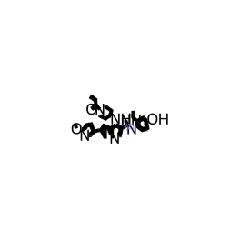 C=CC(=O)N1CCC(Nc2c(/C(N)=N/c3ccc(O)cc3CC)cnn3cc(-c4ccc(OC)nc4)cc23)CC1